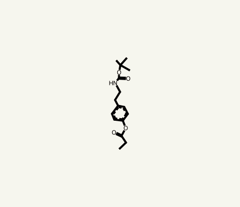 CCC(=O)Oc1ccc(CCNC(=O)OC(C)(C)C)cc1